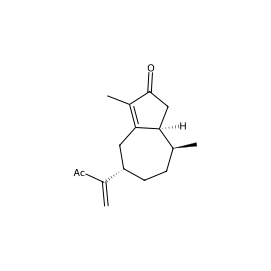 C=C(C(C)=O)[C@H]1CC[C@H](C)[C@@H]2CC(=O)C(C)=C2C1